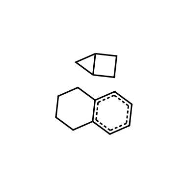 C1CC2CC12.c1ccc2c(c1)CCCC2